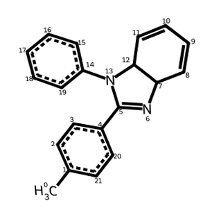 Cc1ccc(C2=NC3C=CC=CC3N2c2ccccc2)cc1